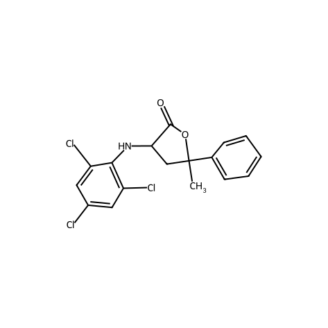 CC1(c2ccccc2)CC(Nc2c(Cl)cc(Cl)cc2Cl)C(=O)O1